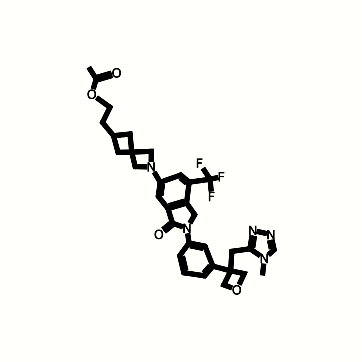 CC(=O)OCCC1CC2(C1)CN(c1cc3c(c(C(F)(F)F)c1)CN(c1cccc(C4(Cc5nncn5C)COC4)c1)C3=O)C2